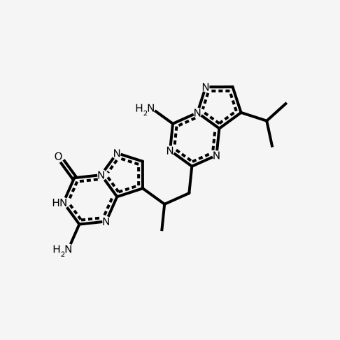 CC(C)c1cnn2c(N)nc(CC(C)c3cnn4c(=O)[nH]c(N)nc34)nc12